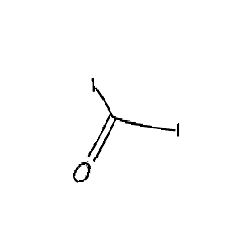 O=C(I)I